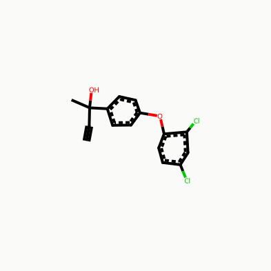 C#CC(C)(O)c1ccc(Oc2ccc(Cl)cc2Cl)cc1